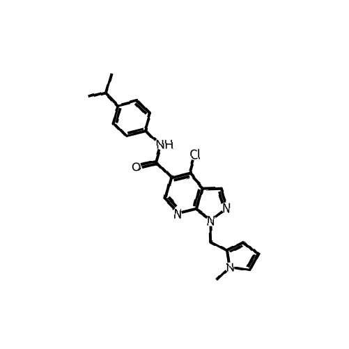 CC(C)c1ccc(NC(=O)c2cnc3c(cnn3Cc3cccn3C)c2Cl)cc1